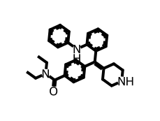 CCN(CC)C(=O)c1ccc(C(=C2CCNCC2)c2ccccc2Nc2ccccc2)cc1